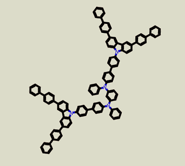 c1ccc(-c2ccc(-c3ccc4c(c3)c3cc(-c5ccc(-c6ccccc6)cc5)ccc3n4-c3ccc(-c4ccc(N(c5ccccc5)c5cccc(N(c6ccccc6)c6ccc(-c7ccc(-n8c9ccc(-c%10ccc(-c%11ccccc%11)cc%10)cc9c9cc(-c%10ccc(-c%11ccccc%11)cc%10)ccc98)cc7)cc6)c5)cc4)cc3)cc2)cc1